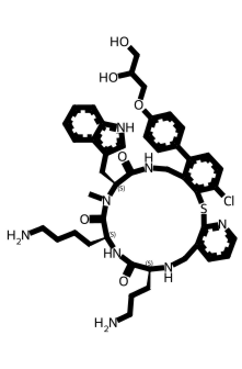 CN1C(=O)[C@H](CCCCN)NC(=O)[C@H](CCCN)NCc2cccnc2Sc2c(Cl)ccc(-c3ccc(OCC(O)CO)cc3)c2CNC(=O)[C@@H]1Cc1c[nH]c2ccccc12